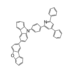 c1ccc(-c2cc(-c3ccccc3)nc(-c3ccc(-n4c5ccccc5c5cc(-c6ccc7oc8ccccc8c7c6)ccc54)cc3)c2)cc1